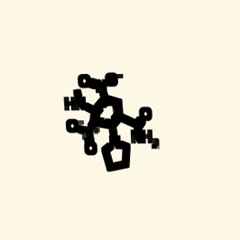 CNc1c([N+](=O)[O-])cc(C(N)=O)c(N2CCCC2)c1[N+](=O)[O-]